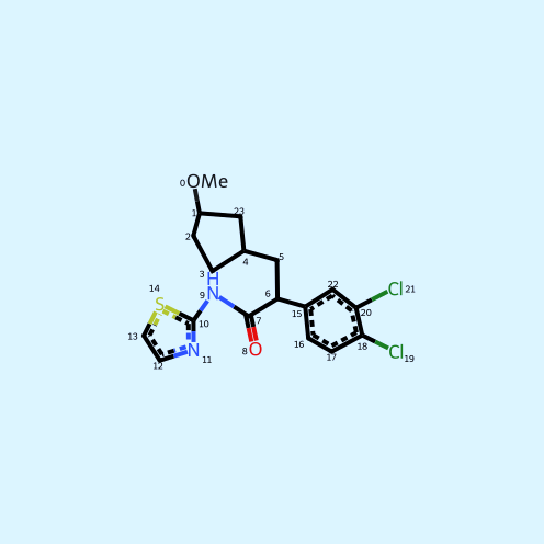 COC1CCC(CC(C(=O)Nc2nccs2)c2ccc(Cl)c(Cl)c2)C1